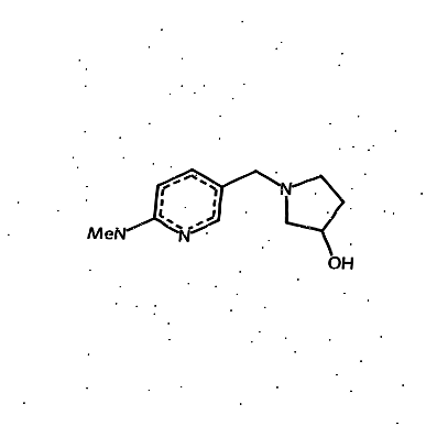 CNc1ccc(CN2CCC(O)C2)cn1